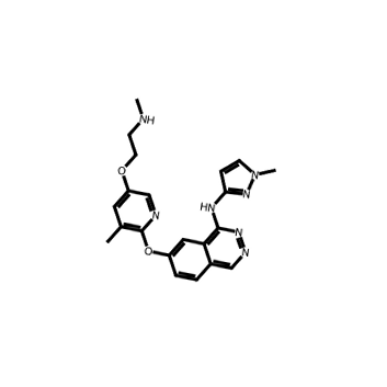 CNCCOc1cnc(Oc2ccc3cnnc(Nc4ccn(C)n4)c3c2)c(C)c1